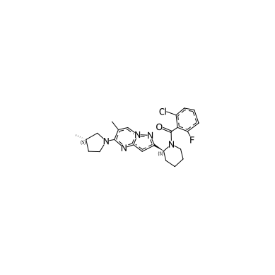 Cc1cn2nc([C@@H]3CCCCN3C(=O)c3c(F)cccc3Cl)cc2nc1N1CC[C@H](C)C1